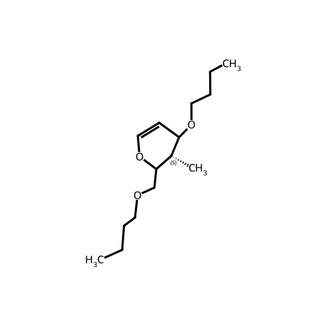 CCCCOCC1OC=CC(OCCCC)[C@@H]1C